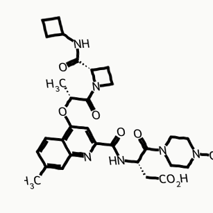 Cc1ccc2c(O[C@H](C)C(=O)N3CC[C@H]3C(=O)NC3CCC3)cc(C(=O)N[C@@H](CC(=O)O)C(=O)N3CCN(C(=O)O)CC3)nc2c1